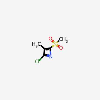 CC1=C(S(C)(=O)=O)N=C1Cl